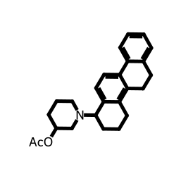 CC(=O)OC1CCCN(C2CCCc3c2ccc2c3CCc3ccccc3-2)C1